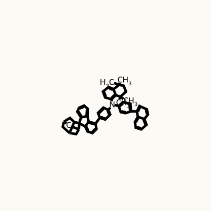 CC1(C)CCC(C)(C)c2c(N(c3ccc(-c4cccc5c4-c4ccccc4C54C5CC6CC7CC4C75C6)cc3)c3ccc(-c4cccc5ccccc45)cc3)cccc21